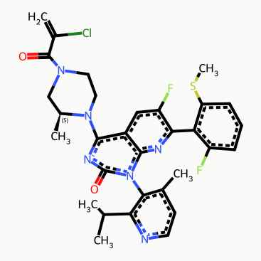 C=C(Cl)C(=O)N1CCN(c2nc(=O)n(-c3c(C)ccnc3C(C)C)c3nc(-c4c(F)cccc4SC)c(F)cc23)[C@@H](C)C1